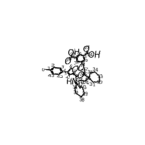 Cc1ccc(-c2coc(C(=O)N[N+]3(CCC4(CCOc5cc(C(=O)O)cc(C(=O)O)c5)CCCCC4)CCCCC3)c2)cc1